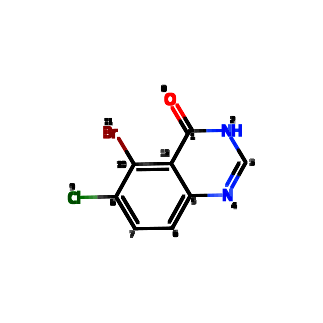 O=c1[nH]cnc2ccc(Cl)c(Br)c12